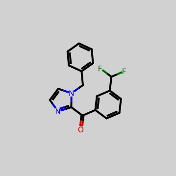 O=C(c1cccc(C(F)F)c1)c1nccn1Cc1ccccc1